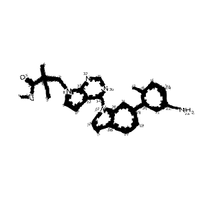 COC(=O)C(C)(C)Cn1ccc2c(-n3ccc4ccc(-c5cc(N)ccc5C)cc43)ncnc21